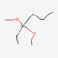 CCC[Si](CC)(OC)OC